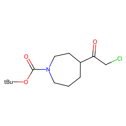 CC(C)(C)OC(=O)N1CCCC(C(=O)CCl)CC1